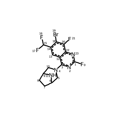 Fc1nc(N2CC3CCC(C2)N3)c2cc(C(F)F)c(Br)c(F)c2n1